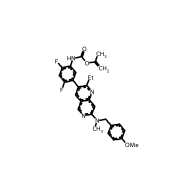 C=C(C)OC(=O)Nc1cc(-c2cc3cnc(N(C)Cc4ccc(OC)cc4)cc3nc2CC)c(F)cc1F